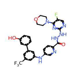 O=C(NNc1ncc(F)c(N2CCOCC2)n1)c1ccc(Nc2cc(-c3cccc(O)c3)cc(C(F)(F)F)c2)cn1